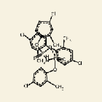 Cc1cc(Cl)ccc1OP(=O)(NP(=S)(Oc1ccc(Cl)cc1C)Oc1ccc(Cl)cc1C)Oc1ccc(Cl)cc1C